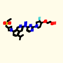 CCS(=O)(=O)CC1CN(c2ccc(C(C)C)c3cc(Nc4ccnc(N5CC[C@H](OCCO)[C@H](F)C5)n4)ncc23)C1